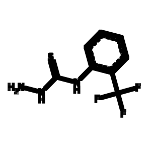 NNC(=S)Nc1ccccc1C(F)(F)F